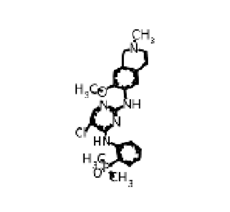 COc1cc2c(cc1Nc1ncc(Cl)c(Nc3ccccc3P(C)(C)=O)n1)CCN(C)C2